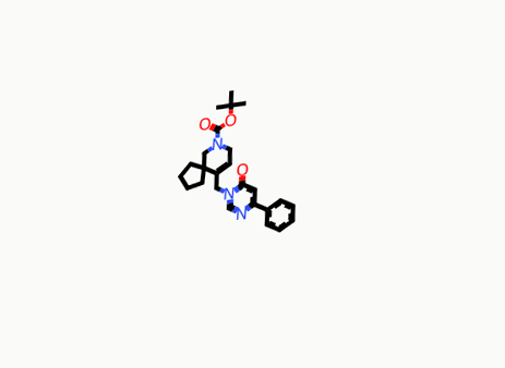 CC(C)(C)OC(=O)N1CC=C(Cn2cnc(-c3ccccc3)cc2=O)C2(CCCC2)C1